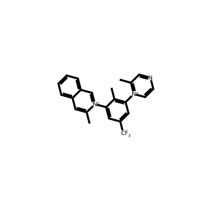 Cc1c(-[n+]2ccncc2C)cc(C(F)(F)F)cc1-[n+]1cc2ccccc2cc1C